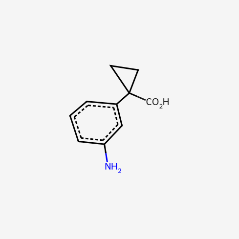 Nc1cccc(C2(C(=O)O)CC2)c1